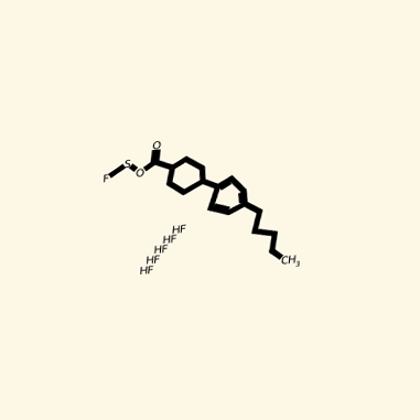 CCCCCc1ccc(C2CCC(C(=O)OSF)CC2)cc1.F.F.F.F.F